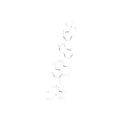 CC(C)(C)C(=O)NCc1ccc(Cl)c(C(=O)Nc2cccc3c2cnn3-c2ccc(C(F)(F)F)nc2)c1Cl